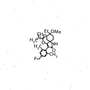 CCC1(OC)CCC2(CC1)NC(=O)C(c1c(C)cc(CF)cc1C)=C2OC(=O)N(C)C